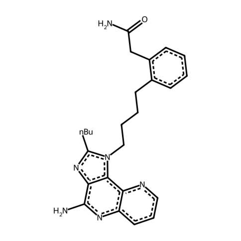 CCCCc1nc2c(N)nc3cccnc3c2n1CCCCc1ccccc1CC(N)=O